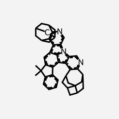 CC1(C)c2ccccc2-c2c1cc1c3c4c(ncc3n3c5cnc6c(c5c2c13)C1CC2CC3CC6CC32C1)C1CC2CC(C1)CC4C2